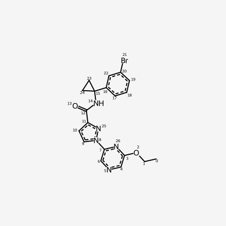 CCOc1cncc(-n2ccc(C(=O)NC3(c4cccc(Br)c4)CC3)n2)n1